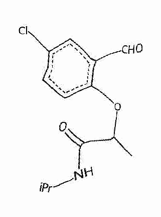 CC(C)NC(=O)C(C)Oc1ccc(Cl)cc1C=O